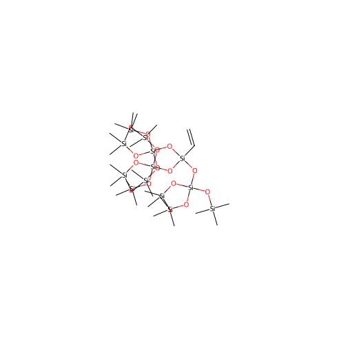 C=C[Si](O[Si](O[Si](C)(C)C)(O[Si](C)(C)C)O[Si](C)(C)C)(O[Si](O[Si](C)(C)C)(O[Si](C)(C)C)O[Si](C)(C)C)O[Si](O[Si](C)(C)C)(O[Si](C)(C)C)O[Si](C)(C)C